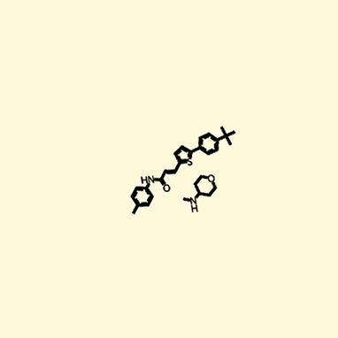 CNC1CCOCC1.Cc1ccc(NC(=O)C=Cc2ccc(-c3ccc(C(C)(C)C)cc3)s2)cc1